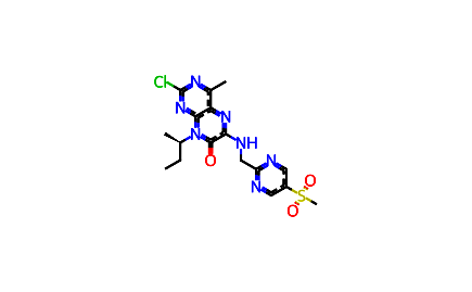 CC[C@@H](C)n1c(=O)c(NCc2ncc(S(C)(=O)=O)cn2)nc2c(C)nc(Cl)nc21